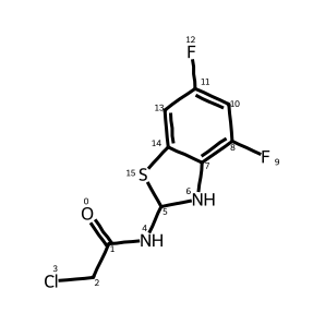 O=C(CCl)NC1Nc2c(F)cc(F)cc2S1